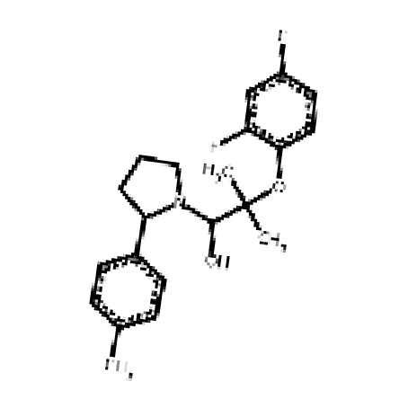 Cc1ccc(C2CCCN2C(O)C(C)(C)Oc2ccc(Cl)cc2F)cc1